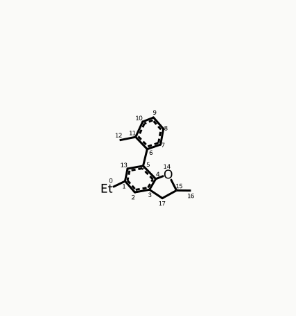 CCc1cc2c(c(-c3ccccc3C)c1)OC(C)C2